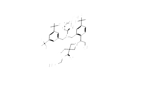 CCOC(=O)C1(CCl)CN(C(CC)c2ccc(C(F)(F)F)cc2CN(Cc2cc(C(F)(F)F)cc(C(F)(F)F)c2)c2nnn(C)n2)C1